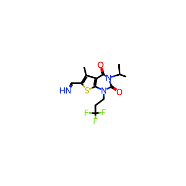 Cc1c(C=N)sc2c1c(=O)n(C(C)C)c(=O)n2CCC(F)(F)F